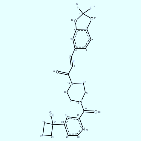 O=C(/C=C/c1ccc2c(c1)OC(F)(F)O2)N1CCN(C(=O)c2cc(C3(O)CCC3)ccn2)CC1